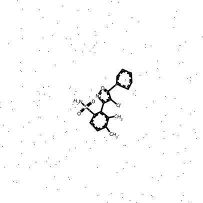 Cc1ccc(S(N)(=O)=O)c(-c2noc(-c3ccccc3)c2Cl)c1C